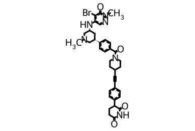 CN1C[C@H](Nc2cnn(C)c(=O)c2Br)C[C@H](c2ccc(C(=O)N3CCC(C#Cc4ccc(C5CCC(=O)NC5=O)cc4)CC3)cc2)C1